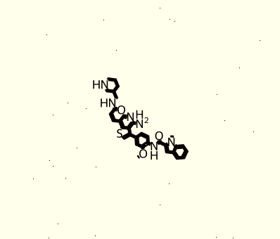 COc1cc(-c2csc3c(/C=C\C(=O)NCC4CCCNC4)cnc(N)c23)ccc1NC(=O)c1cc2ccccc2n1C